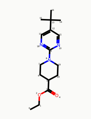 CCOC(=O)C1CCN(c2ncc(C(C)(C)C)cn2)CC1